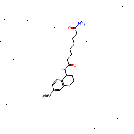 COc1ccc2c(c1)CCCC2NC(=O)CCCCCCC(N)=O